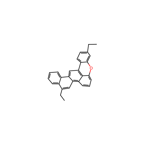 CCc1ccc2c(c1)Oc1cccc3c1c-2cc1c2ccccc2c(CC)cc31